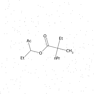 CCCC(C)(CC)C(=O)OC(CC)C(C)=O